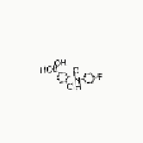 O=C(Nc1ccc(F)cc1)c1cc(B(O)O)ccc1Cl